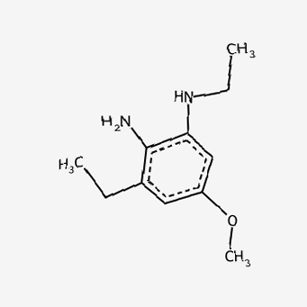 CCNc1cc(OC)cc(CC)c1N